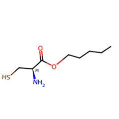 CCCCCOC(=O)[C@@H](N)CS